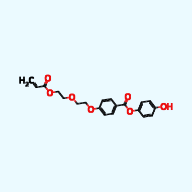 C=CC(=O)OCCOCCOc1ccc(C(=O)Oc2ccc(O)cc2)cc1